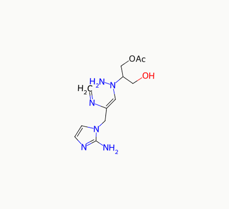 C=N/C(=C\N(N)C(CO)COC(C)=O)Cn1ccnc1N